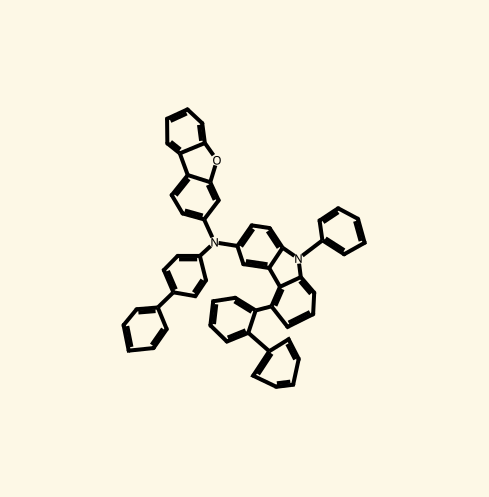 c1ccc(-c2ccc(N(c3ccc4c(c3)oc3ccccc34)c3ccc4c(c3)c3c(-c5ccccc5-c5ccccc5)cccc3n4-c3ccccc3)cc2)cc1